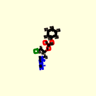 [N-]=[N+]=NC[C@H](CCl)OC(=O)Oc1ccccc1